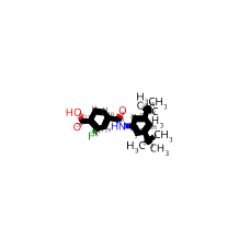 CC(C)(C)c1cc(NC(=O)c2ccc(C(=O)O)c(F)c2)cc(C(C)(C)C)c1